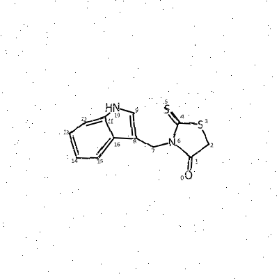 O=C1CSC(=S)N1Cc1c[nH]c2ccccc12